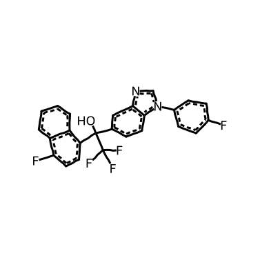 OC(c1ccc2c(c1)ncn2-c1ccc(F)cc1)(c1ccc(F)c2ccccc12)C(F)(F)F